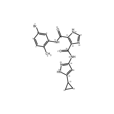 Cc1ccc(Br)cc1NC(=O)c1[nH]cnc1C(=O)Nc1cc(C2CC2)[nH]n1